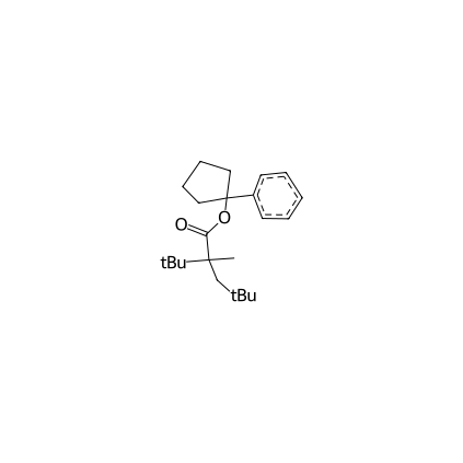 CC(C)(C)CC(C)(C(=O)OC1(c2ccccc2)CCCC1)C(C)(C)C